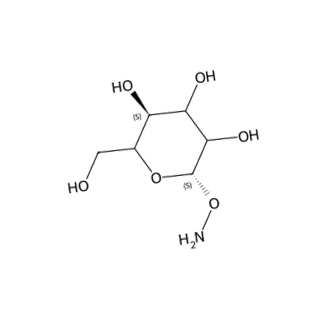 NO[C@@H]1OC(CO)[C@@H](O)C(O)C1O